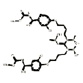 CB(O)N=C(N(CCCCOc1ccc(C(=N)NC(=O)OC(C)(C)C)cc1Cl)B(C)O)N(CCCCOc1ccc(C(=N)NC(=O)OC(C)(C)C)cc1Cl)B(C)O